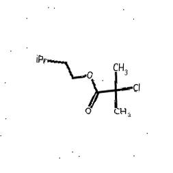 CC(C)CCOC(=O)C(C)(C)Cl